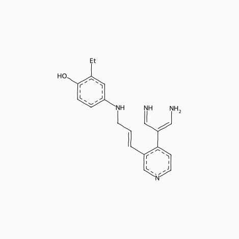 CCc1cc(NC/C=C/c2cnccc2/C(C=N)=C/N)ccc1O